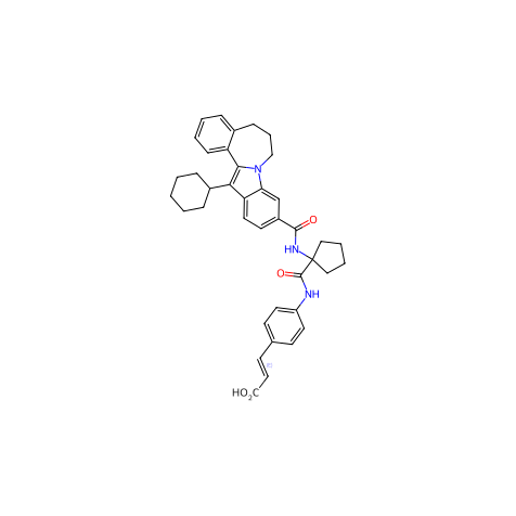 O=C(O)/C=C/c1ccc(NC(=O)C2(NC(=O)c3ccc4c(C5CCCCC5)c5n(c4c3)CCCc3ccccc3-5)CCCC2)cc1